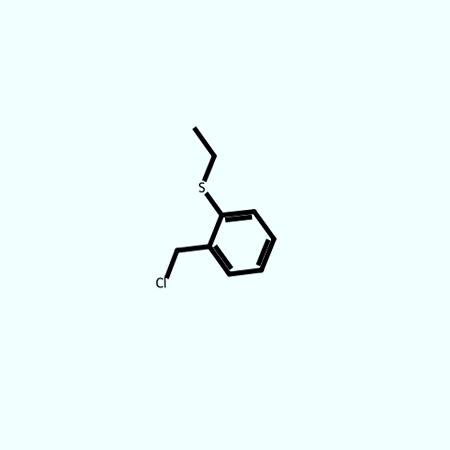 CCSc1ccccc1CCl